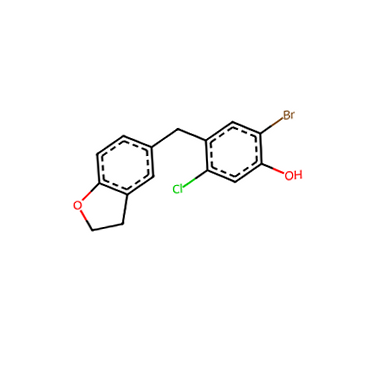 Oc1cc(Cl)c(Cc2ccc3c(c2)CCO3)cc1Br